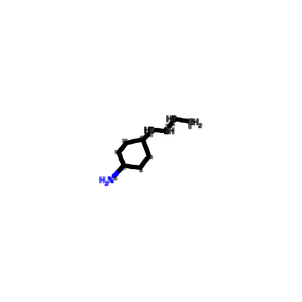 BBBBC1CCC(N)CC1